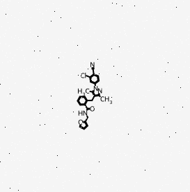 Cc1nn(-c2ccc(C#N)c(Cl)c2)c(C)c1Cc1ccccc1C(=O)NCc1ccco1